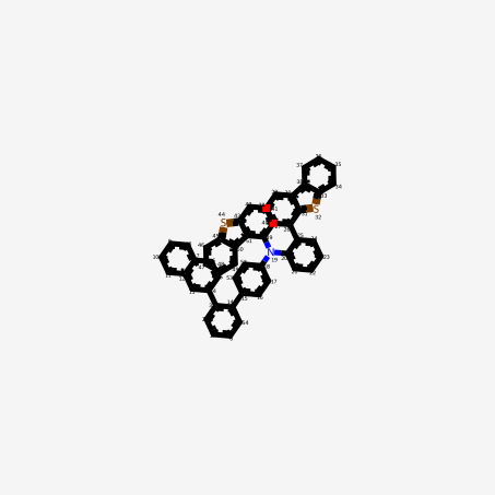 c1ccc(-c2ccc3ccccc3c2)c(-c2ccc(N(c3ccccc3-c3cccc4c3sc3ccccc34)c3cccc4sc5ccccc5c34)cc2)c1